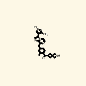 Cc1cc(Cc2nccn3c(-c4cn(C(C)C)nc4C(F)(F)F)cnc23)ccc1C(=O)C1CC2(CNC2)C1